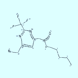 CCCCOC(=O)c1cc(CBr)nc(C(F)(F)F)n1